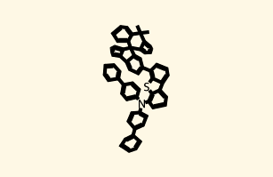 CC1(C)c2ccccc2C2(c3ccccc3-c3ccc(-c4cccc5c4sc4c(N(c6ccc(-c7ccccc7)cc6)c6ccc(-c7ccccc7)cc6)cccc45)cc32)c2ccccc21